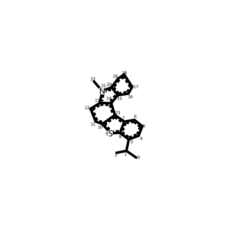 CC(C)c1cccc2c1sc1ccc3c(c4ccccc4n3C)c12